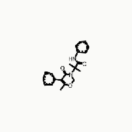 CC1=C(c2ccccc2)C(=O)N(C(C)(C)C(=O)Nc2ccccc2)CO1